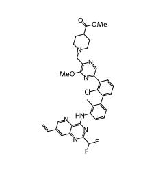 C=Cc1cnc2c(Nc3cccc(-c4cccc(-c5cnc(CN6CCC(C(=O)OC)CC6)c(OC)n5)c4Cl)c3C)nc(C(F)F)nc2c1